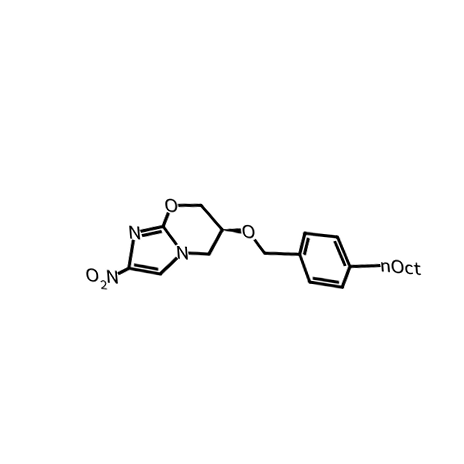 CCCCCCCCc1ccc(CO[C@@H]2COc3nc([N+](=O)[O-])cn3C2)cc1